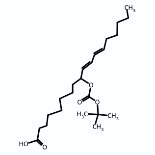 CCCCC/C=C/C=C/C(CCCCCCCC(=O)O)OC(=O)OC(C)(C)C